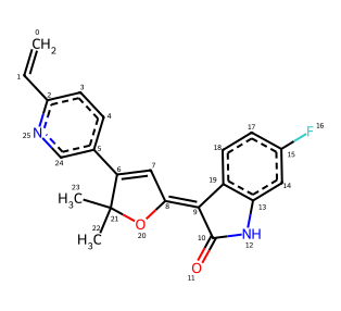 C=Cc1ccc(C2=CC(=C3C(=O)Nc4cc(F)ccc43)OC2(C)C)cn1